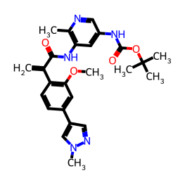 C=C(C(=O)Nc1cc(NC(=O)OC(C)(C)C)cnc1C)c1ccc(-c2cnn(C)c2)cc1OC